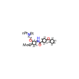 CCCN(CC)CCOc1cc(NC(=O)c2ccc(Oc3ccccc3)cc2)ccc1OC